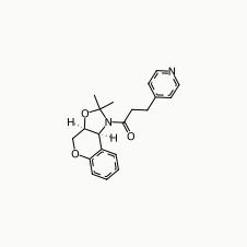 CC1(C)O[C@@H]2COc3ccccc3[C@@H]2N1C(=O)CCc1ccncc1